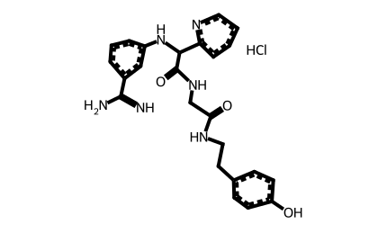 Cl.N=C(N)c1cccc(NC(C(=O)NCC(=O)NCCc2ccc(O)cc2)c2ccccn2)c1